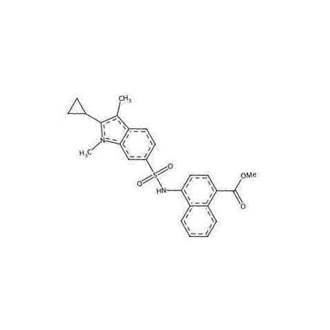 COC(=O)c1ccc(NS(=O)(=O)c2ccc3c(C)c(C4CC4)n(C)c3c2)c2ccccc12